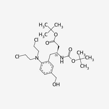 CC(C)(C)OC(=O)C[C@H](Cc1cc(CO)ccc1N(CCCl)CCCl)NC(=O)OC(C)(C)C